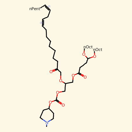 CCCCC/C=C\C/C=C\CCCCCCCC(=O)COC(COC(=O)CCC(OCCCCCCCC)OCCCCCCCC)COC(=O)OC1CCN(C)CC1